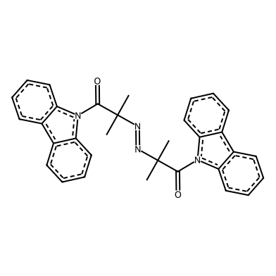 CC(C)(N=NC(C)(C)C(=O)n1c2ccccc2c2ccccc21)C(=O)n1c2ccccc2c2ccccc21